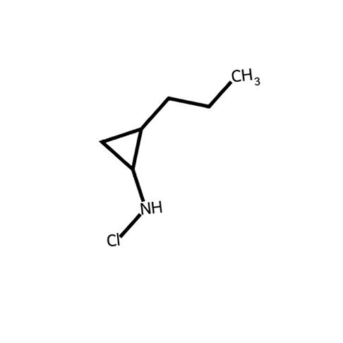 CCCC1CC1NCl